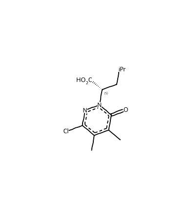 Cc1c(Cl)nn([C@@H](CC(C)C)C(=O)O)c(=O)c1C